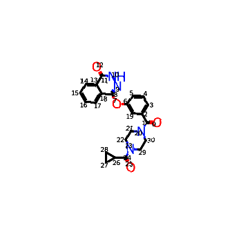 O=C(c1cccc(Oc2n[nH]c(=O)c3ccccc23)c1)N1CCN(C(=O)C2CC2)CC1